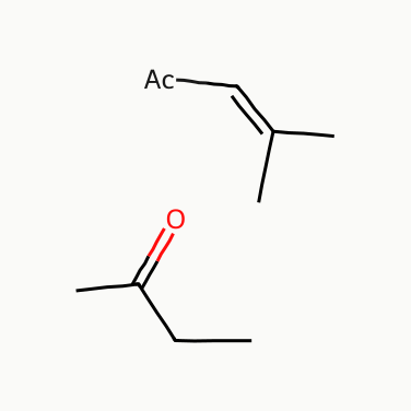 CC(=O)C=C(C)C.CCC(C)=O